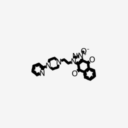 O=C1c2ccccc2C(=O)c2c1n(CCN1CCN(c3ccccn3)CC1)n[n+]2[O-]